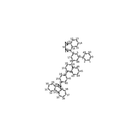 c1ccc(-c2cc(-c3ncnc4ccccc34)cc(-c3ccc(-c4ccc(-n5c6ccccc6c6ccccc65)cc4)c4ccccc34)c2)cc1